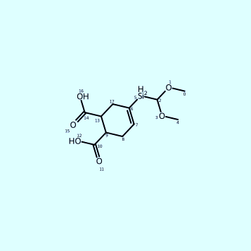 COC(OC)[SiH2]C1=CCC(C(=O)O)C(C(=O)O)C1